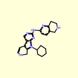 C1=Cc2c(n(C3CCCCC3)c3nc(Nc4ccc5c(n4)CCNC5)ncc23)CN1